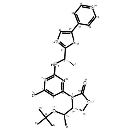 C[C@H](Nc1nc(Cl)cc(N2C(=O)OC[C@@H]2[C@@H](C)OC(C)(C)C)n1)c1ncc(-c2ccncc2)s1